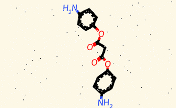 Nc1ccc(OC(=O)CC(=O)Oc2ccc(N)cc2)cc1